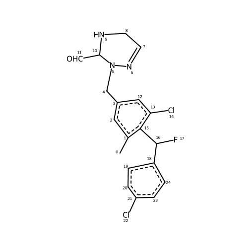 Cc1cc(CN2N=CCNC2C=O)cc(Cl)c1C(F)c1ccc(Cl)cc1